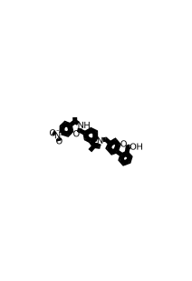 Cc1cn(Cc2ccc(-c3ccccc3C(=O)O)cc2)c2ccc(C(=O)NC(C)c3ccc([N+](=O)[O-])cc3)cc12